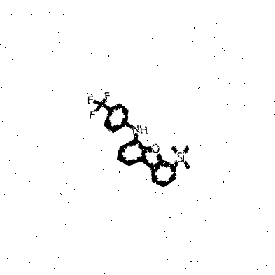 C[Si](C)(C)c1cccc2c1oc1c(Nc3ccc(C(F)(F)F)cc3)cccc12